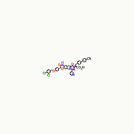 N#Cc1ccc(-c2ccc(C[C@H](NC(=O)[C@@H]3Cc4cc5c(cc4CN3C(=O)c3cccnc3)OC(c3ccc(OCc4ccc(Cl)c(Cl)c4)cc3)C(=O)N5)C(=O)O)cc2)cc1